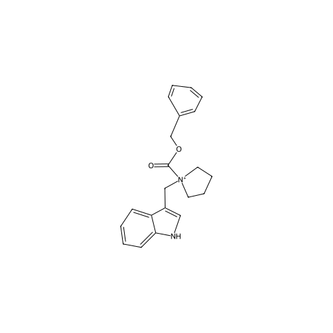 O=C(OCc1ccccc1)[N+]1(Cc2c[nH]c3ccccc23)CCCC1